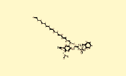 CCCCCCCCCCCCCCCCCCOC[C@H](COP(=O)(OC)Oc1ccccc1Cl)Oc1ccc(C#N)c(OC(C)C)c1